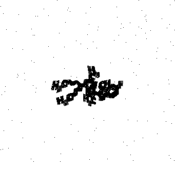 C=CCC=C(CCC=C)c1cc(C)nn2c(-c3sc4ccc(F)cc4c3C)c(C)nc12